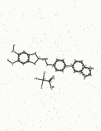 COc1cc2c(cc1OC)CC(NCc1ccc(-c3ccc4[nH]cnc4c3)cc1)C2.O=C(O)C(F)(F)F